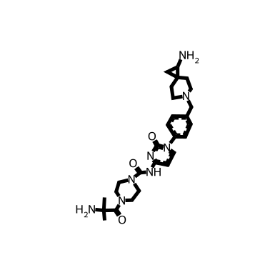 CC(C)(N)C(=O)N1CCN(C(=O)Nc2ccn(-c3ccc(CN4CCC5(CC4)CC5N)cc3)c(=O)n2)CC1